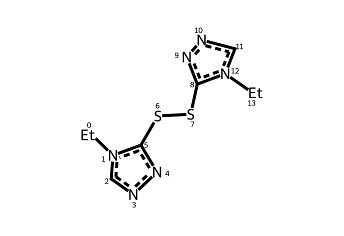 CCn1cnnc1SSc1nncn1CC